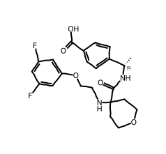 C[C@H](NC(=O)C1(NCCOc2cc(F)cc(F)c2)CCOCC1)c1ccc(C(=O)O)cc1